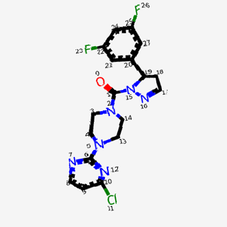 O=C(N1CCN(c2nccc(Cl)n2)CC1)N1N=CCC1c1cc(F)cc(F)c1